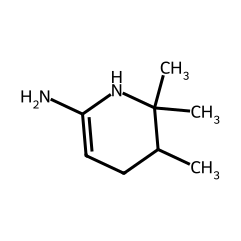 CC1CC=C(N)NC1(C)C